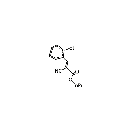 CCCOC(=O)/C(C#N)=C/c1ccccc1CC